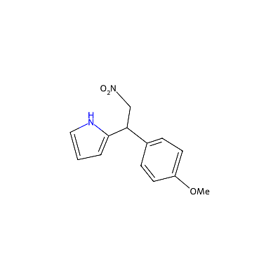 COc1ccc(C(C[N+](=O)[O-])c2ccc[nH]2)cc1